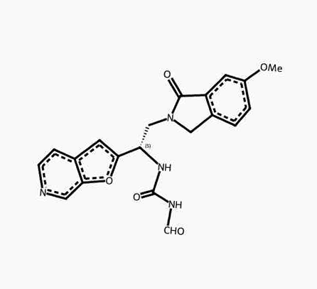 COc1ccc2c(c1)C(=O)N(C[C@H](NC(=O)NC=O)c1cc3ccncc3o1)C2